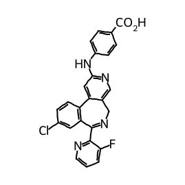 O=C(O)c1ccc(Nc2cc3c(cn2)CN=C(c2ncccc2F)c2cc(Cl)ccc2-3)cc1